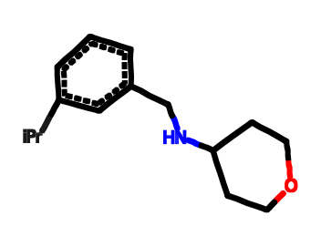 CC(C)c1cccc(CNC2CCOCC2)c1